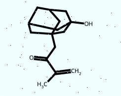 C=C(C)C(=O)CC12CC3CC(CC(O)(C3)C1)C2